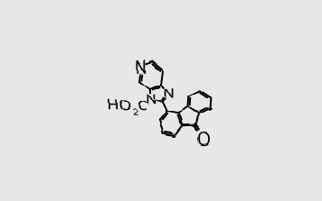 O=C1c2ccccc2-c2c1cccc2-c1nc2ccncc2n1C(=O)O